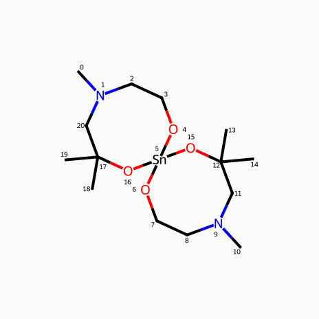 CN1CC[O][Sn]2([O]CCN(C)CC(C)(C)[O]2)[O]C(C)(C)C1